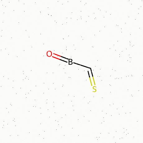 O=BC=S